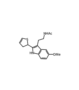 COc1ccc2[nH]c(C3CC=CS3)c(CCNC(C)=O)c2c1